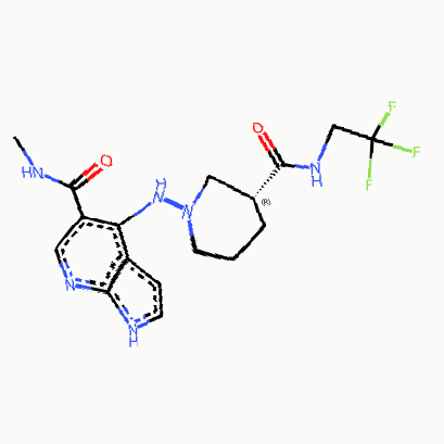 CNC(=O)c1cnc2[nH]ccc2c1NN1CCC[C@@H](C(=O)NCC(F)(F)F)C1